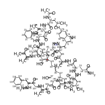 CC(=O)N[C@@H](CC(C)C)C(=O)N[C@H](C(=O)C(=O)[C@H](Cc1ccccc1)NN[C@](C)(CCCCCCC=CCCC[C@](C)(NC(=O)[C@H](CC(C)C)NN[C@@H](CCC(N)=O)C(=O)CN[C@@H](C)C(=O)CC(=O)[C@H](Cc1c[nH]c2ccccc12)/N=N\[C@H](C=O)CC1=CC=C(O)CC1)C(=O)N[C@@H](CO)C(=O)CC(=O)[C@H](C)NCC(=O)[C@H](Cc1ccccc1)NN)C(=O)CN[C@@H](C)C(C)=O)[C@@H](C)O